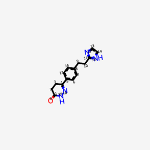 O=C1CCC(c2ccc(CCc3ncc[nH]3)cc2)=NN1